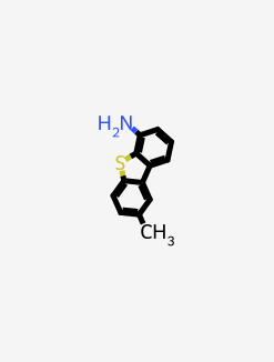 Cc1ccc2sc3c(N)cccc3c2c1